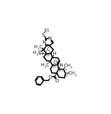 CCSc1ncc2c(n1)C(C)(C)[C@H]1CC[C@@]3(C)[C@@H](CC=C4[C@@H]5[C@@H](C)[C@@H](C)CC[C@]5(C(=O)OCc5ccccc5)CC[C@]43C)[C@]1(C)C2